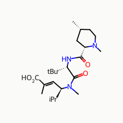 C/C(=C\[C@H](C(C)C)N(C)C(=O)[C@@H](NC(=O)[C@@H]1C[C@H](C)CCN1C)C(C)(C)C)C(=O)O